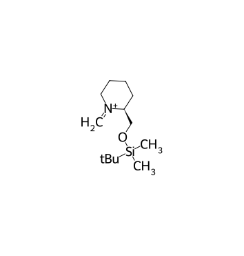 C=[N+]1CCCC[C@H]1CO[Si](C)(C)C(C)(C)C